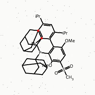 COc1cc(S(C)(=O)=O)c(OC)c(P(C23CC4CC(CC(C4)C2)C3)C23CC4CC(CC(C4)C2)C3)c1-c1c(C(C)C)cc(C(C)C)cc1C(C)C